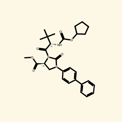 COC(=O)[C@@H]1CN(c2ccc(-c3ccccc3)cc2)C(=O)N1C(=O)[C@@H](NC(=O)OC1CCCC1)C(C)(C)C